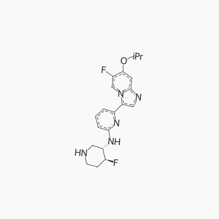 CC(C)Oc1cc2ncc(-c3cccc(N[C@H]4CNCC[C@@H]4F)n3)n2cc1F